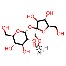 O=S(=O)(O)OC[C@@]1(O[C@H]2O[C@H](CO)[C@@H](O)[C@H](O)[C@H]2O)O[C@H](CO)[C@@H](O)[C@@H]1O.[Al]